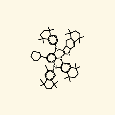 Cc1cc2c(cc1N1c3cc4c(cc3B3C5=C(C6CC7C(=CC6S5)C(C)(C)CCC7(C)C)N(c5ccc6c(c5)C(C)(C)CCC6(C)C)c5cc(C6CCCCC6)cc1c53)C(C)(C)CCC4(C)C)C(C)(C)CCC2(C)C